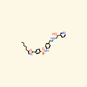 CCCCCc1cnc(-c2ccc(S(=O)(=O)Nc3ccc(CCNCC(O)c4cccnc4)cc3)cc2)o1